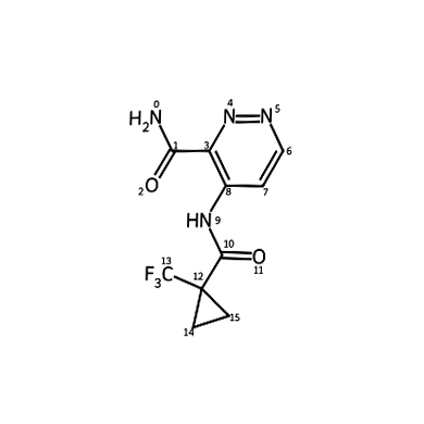 NC(=O)c1nnccc1NC(=O)C1(C(F)(F)F)CC1